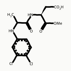 COC(=O)[C@H](CC(=O)O)NC(=O)C(C)Nc1ccc(Cl)c(Cl)c1